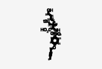 CC#CCOc1ccc(S(=O)(=O)N[C@@H](C(=O)O)C(C)(CC(C)(C)C)SCCCO)cc1